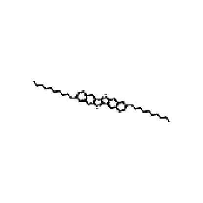 CCCCCCCCCCc1ccc2cc3c([c]c2c1)sc1c2cc4ccc(CCCCCCCCCC)cc4cc2sc31